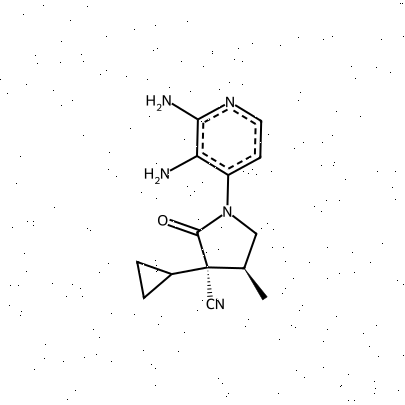 C[C@@H]1CN(c2ccnc(N)c2N)C(=O)[C@]1(C#N)C1CC1